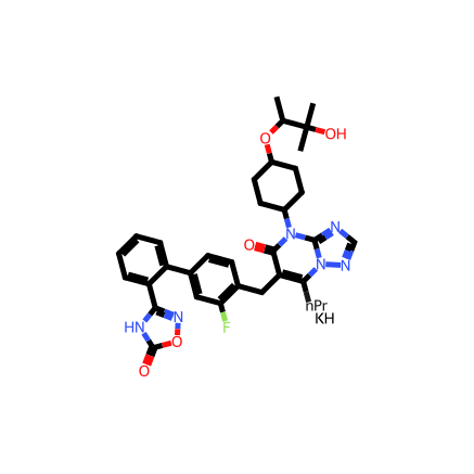 CCCc1c(Cc2ccc(-c3ccccc3-c3noc(=O)[nH]3)cc2F)c(=O)n(C2CCC(OC(C)C(C)(C)O)CC2)c2ncnn12.[KH]